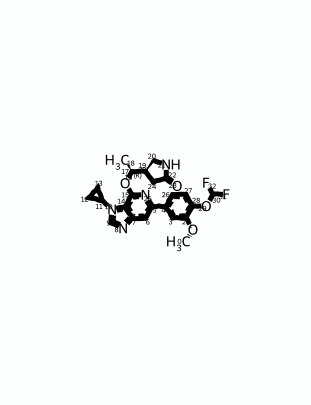 COc1cc(-c2cc3ncn(C4CC4)c3c(O[C@H](C)[C@H]3CNC(=O)C3)n2)ccc1OC(F)F